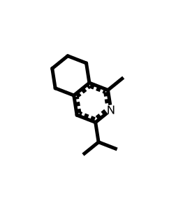 Cc1nc(C(C)C)cc2c1CCCC2